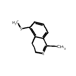 CSc1cccc2c1CCN=C2C